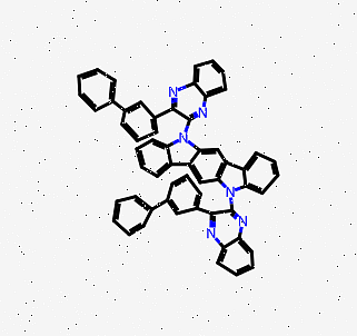 c1ccc(-c2cccc(-c3nc4ccccc4nc3-n3c4ccccc4c4cc5c(cc43)c3ccccc3n5-c3nc4ccccc4nc3-c3cccc(-c4ccccc4)c3)c2)cc1